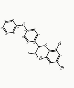 CC(C)C(Oc1c(Cl)cc(O)cc1Cl)c1ccc(Oc2ccccc2)cc1